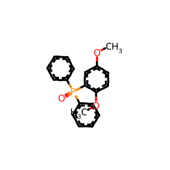 COc1ccc(OC)c(P(=O)(c2ccccc2)c2ccccc2)c1